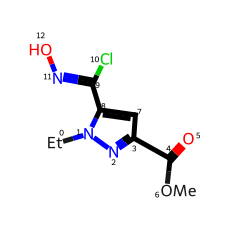 CCn1nc(C(=O)OC)cc1/C(Cl)=N/O